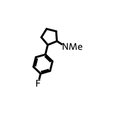 CNC1CCCC1c1ccc(F)cc1